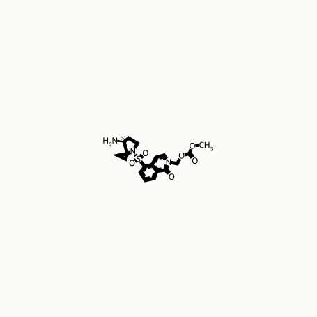 COC(=O)OCn1ccc2c(S(=O)(=O)N3CC[C@H](N)C34CC4)cccc2c1=O